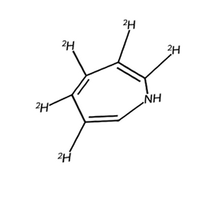 [2H]C1=CNC([2H])=C([2H])C([2H])=C1[2H]